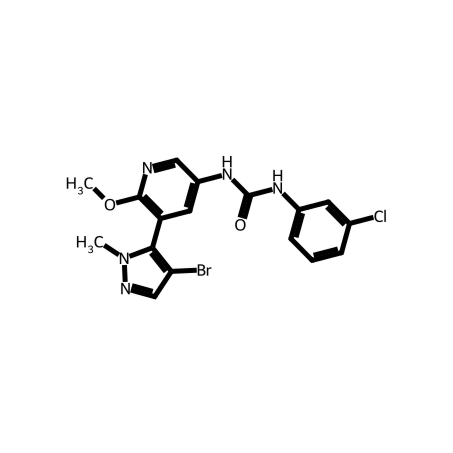 COc1ncc(NC(=O)Nc2cccc(Cl)c2)cc1-c1c(Br)cnn1C